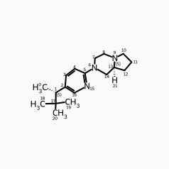 C[C@H](c1ccc(N2CCN3CCC[C@H]3C2)nc1)C(C)(C)C